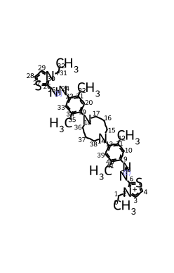 CC[n+]1ccsc1/N=N/c1cc(C)c(N2CCCN(c3cc(C)c(/N=N/c4scc[n+]4CC)cc3C)CCC2)cc1C